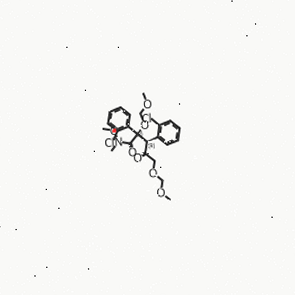 COCOCC(=O)[C@H](c1ccccc1Cl)[C@](OCOC)(C(=O)N(C)OC)c1ccccc1Cl